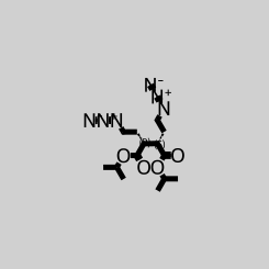 CC(C)OC(=O)[C@@H](CCN=[N+]=[N-])[C@@H](CCN=[N+]=[N-])C(=O)OC(C)C